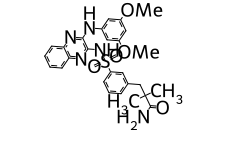 COc1cc(Nc2nc3ccccc3nc2NS(=O)(=O)c2cccc(CC(C)(C)C(N)=O)c2)cc(OC)c1